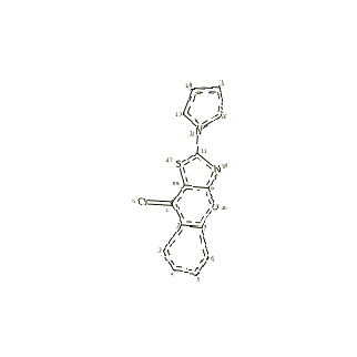 O=c1c2ccccc2oc2nc(-n3cccc3)sc12